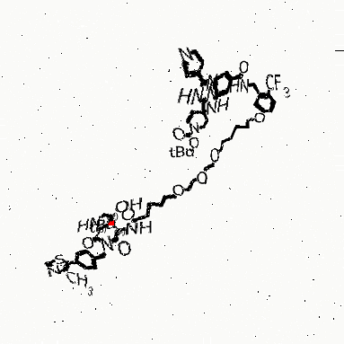 Cc1ncsc1-c1ccc(CN(C(=O)[C@@H]2C[C@@H](O)CN2)C(=O)[C@@H](NC(=O)CCCCCOCCOCCOCCCCCCOc2ccc(C(F)(F)F)c(CNC(=O)c3cccc(NC4(c5nnc(-c6ccncc6)[nH]5)CCN(C(=O)OC(C)(C)C)CC4)c3)c2)C(C)(C)C)cc1